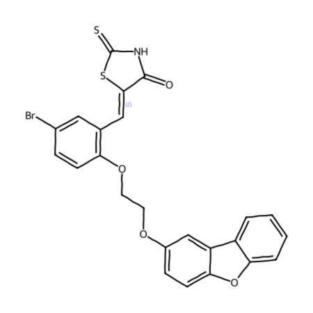 O=C1NC(=S)S/C1=C\c1cc(Br)ccc1OCCOc1ccc2oc3ccccc3c2c1